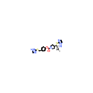 CC(Sc1ncc[nH]1)C1CCN(C(=O)Oc2ccc(CSc3ncc[nH]3)cc2)CC1